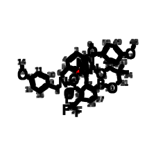 COc1ccc(CN(Cc2ccc(OC)cc2)S(=O)(=O)c2c(C(F)(F)F)ccc(B3OCC(C)(C)CO3)c2-c2nnn(Cc3ccc(OC)cc3)n2)cc1